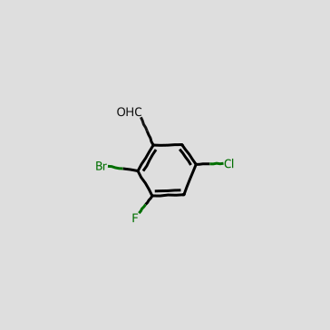 O=Cc1cc(Cl)cc(F)c1Br